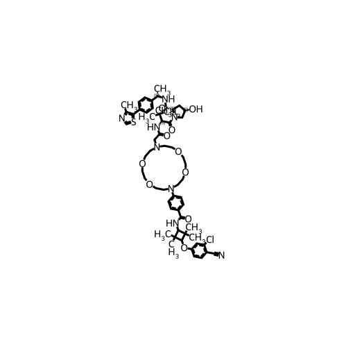 Cc1ncsc1-c1ccc([C@H](C)NC(=O)[C@@H]2C[C@@H](O)CN2C(=O)[C@@H](NC(=O)CN2CCOCCOCCN(c3ccc(C(=O)NC4C(C)(C)C(Oc5ccc(C#N)c(Cl)c5)C4(C)C)cc3)CCOCCOCC2)C(C)(C)C)cc1